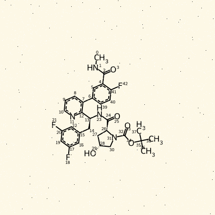 CNC(=O)c1cc(-c2cccnc2[C@H](Cc2cc(F)cc(F)c2)NC(=O)[C@@H]2C[C@@H](O)CN2C(=O)OC(C)(C)C)ccc1F